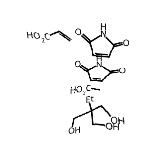 C=CC(=O)O.CC(=O)O.CCC(CO)(CO)CO.O=C1C=CC(=O)N1.O=C1C=CC(=O)N1